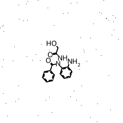 Nc1ccccc1N(NC(=O)CO)C(=O)c1ccccc1